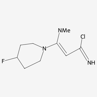 CN/C(=C\C(=N)Cl)N1CCC(F)CC1